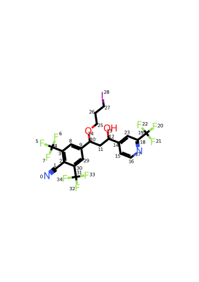 N#Cc1c(C(F)(F)F)cc(C(CC(O)c2ccnc(C(F)(F)F)c2)OCCCI)cc1C(F)(F)F